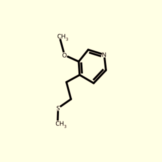 COc1cnccc1CCSC